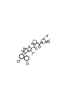 CC(C)C1=C(C(=O)N2[C@H](C)CC[C@H]2C(=O)N2C[C@H](CF)[C@@H](N(C)C)C2)SC2=N[C@@](C)(c3ccc(Cl)cc3)[C@@H](c3ccc(Cl)cc3)N21